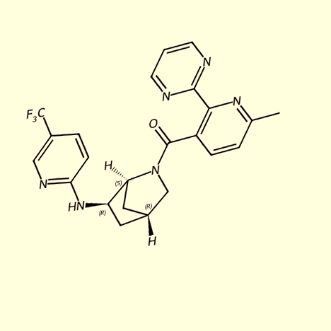 Cc1ccc(C(=O)N2C[C@@H]3C[C@@H](Nc4ccc(C(F)(F)F)cn4)[C@@H]2C3)c(-c2ncccn2)n1